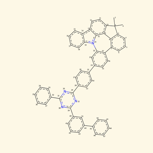 CC1(C)c2cccc3c2-c2c1ccc1c4ccccc4n(c21)-c1cc(-c2ccc(-c4nc(-c5ccccc5)nc(-c5cccc(-c6ccccc6)c5)n4)cc2)ccc1-3